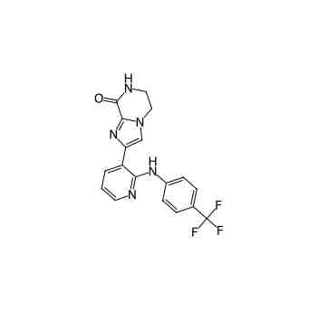 O=C1NCCn2cc(-c3cccnc3Nc3ccc(C(F)(F)F)cc3)nc21